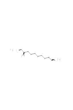 C=CCCCCCCCC(=O)CC